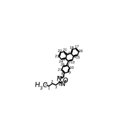 CCCCc1noc(-c2ccc(-c3cc4ccccc4c4ccccc34)cc2)n1